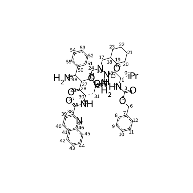 CC(C)[C@H](NC(=O)OCc1ccccc1)C(=O)NN(CC1CCCCC1)C[C@H](O)C(C(=O)[C@H](CC(N)=O)NC(=O)c1ccc2ccccc2n1)C(N)c1ccccc1